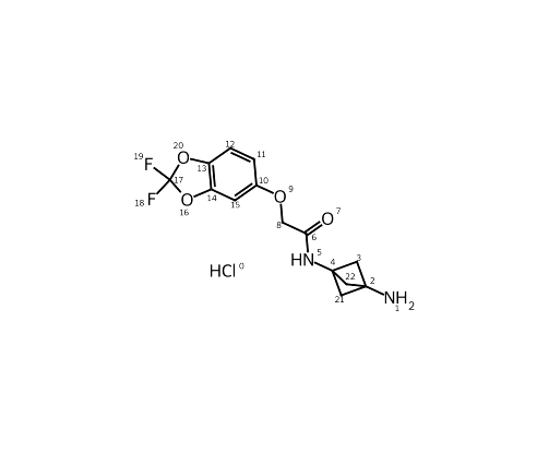 Cl.NC12CC(NC(=O)COc3ccc4c(c3)OC(F)(F)O4)(C1)C2